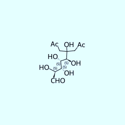 CC(=O)CC(O)(CC(C)=O)[C@@H](O)[C@@H](O)[C@H](O)[C@H](O)C=O